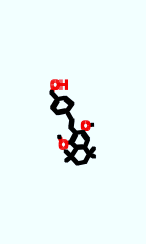 COc1cc2c(c(OC)c1C=Cc1ccc(CO)cc1)C(C)(C)CCC2(C)C